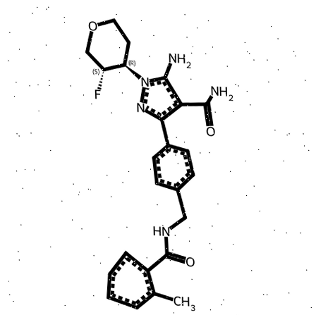 Cc1ccccc1C(=O)NCc1ccc(-c2nn([C@@H]3CCOC[C@H]3F)c(N)c2C(N)=O)cc1